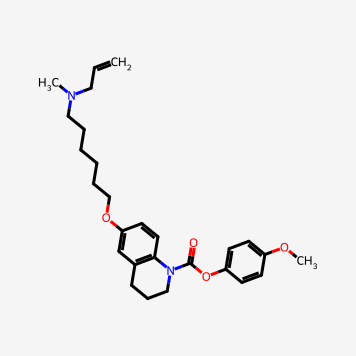 C=CCN(C)CCCCCCOc1ccc2c(c1)CCCN2C(=O)Oc1ccc(OC)cc1